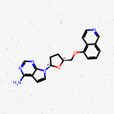 Nc1ncnc2c1ccn2[C@H]1CC[C@@H](COc2cccc3cnccc23)O1